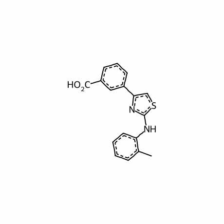 Cc1ccccc1Nc1nc(-c2cccc(C(=O)O)c2)cs1